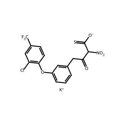 O=C(Cc1cccc(Oc2ccc(C(F)(F)F)cc2Cl)c1)C(C([O-])=S)[N+](=O)[O-].[K+]